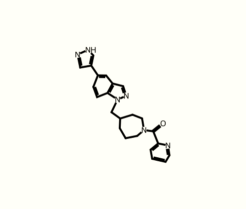 O=C(c1ccccn1)N1CCCC(Cn2ncc3cc(-c4cn[nH]c4)ccc32)CC1